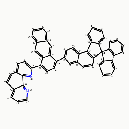 c1ccc(C2(c3ccccc3)c3ccccc3-c3c2ccc2cc(-c4ccc(-c5ccc6ccc7cccnc7c6n5)c5cc6ccccc6cc45)ccc32)cc1